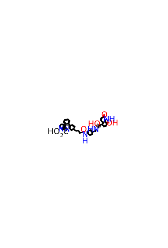 O=C(CCCc1ccc(-c2ccccc2)c(N(C(=O)O)[C@H]2CN3CCC2CC3)c1)Nc1ccc(CNC[C@H](O)c2ccc(O)c3[nH]c(=O)ccc23)cc1